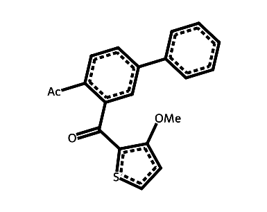 COc1ccsc1C(=O)c1cc(-c2ccccc2)ccc1C(C)=O